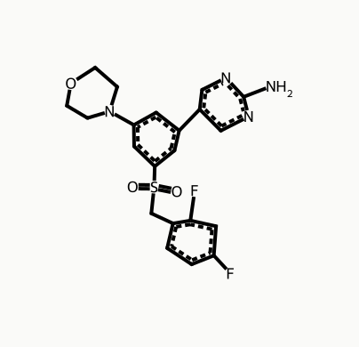 Nc1ncc(-c2cc(N3CCOCC3)cc(S(=O)(=O)Cc3ccc(F)cc3F)c2)cn1